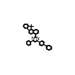 CC1(C)c2ccccc2-c2ccc3c(-c4nc(-c5ccccc5)cc(-c5ccc(-c6ccccc6)cc5)n4)cccc3c21